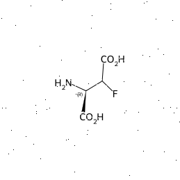 N[C@H](C(=O)O)C(F)C(=O)O